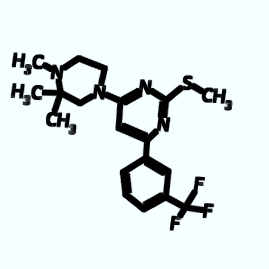 CSc1nc(-c2cccc(C(F)(F)F)c2)cc(N2CCN(C)C(C)(C)C2)n1